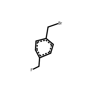 FCc1ccc(CBr)cc1